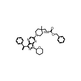 C=C(c1ccccc1)c1nn(C2CCCCO2)c2nc(N3CCC(C)(CNC(=O)OCc4ccccc4)CC3)cnc12